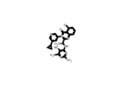 Cc1nc(N)c(C#N)c(N[C@@H](C)c2nc3cccc(Cl)c3c(=O)n2-c2cncc(C3CC3)c2)n1